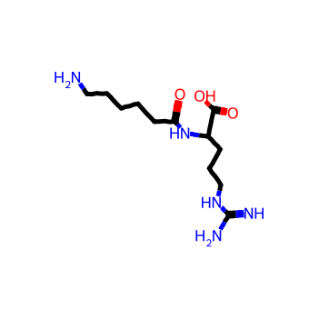 N=C(N)NCCCC(NC(=O)CCCCCN)C(=O)O